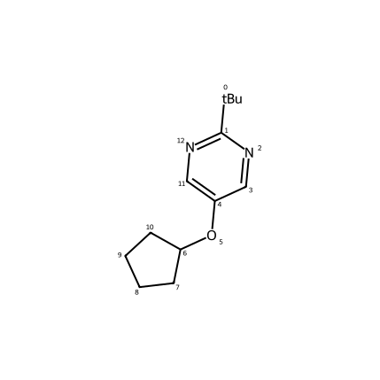 CC(C)(C)c1ncc(OC2CCCC2)cn1